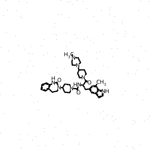 Cc1cc(CC(NC(=O)N2CCC(N3CCc4ccccc4NC3=O)CC2)C(=O)N2CCC(N3CCN(C)CC3)CC2)cc2cc[nH]c12